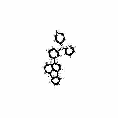 c1ccc(N(c2ccncc2)c2cccc(-c3ccc4c5c(cccc35)-c3ccccc3-4)c2)nc1